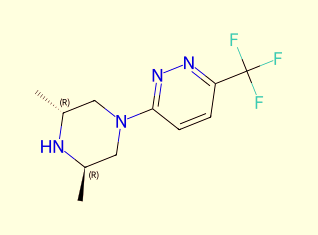 C[C@@H]1CN(c2ccc(C(F)(F)F)nn2)C[C@@H](C)N1